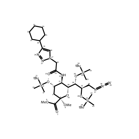 COC(=O)[C@@]1(OC)C[C@H](O[Si](C)(C)C(C)(C)C)[C@@H](NC(=O)Cn2cc(C3CCCCC3)nn2)[C@H]([C@H](O[Si](C)(C)C(C)(C)C)[C@@H](CN=[N+]=[N-])O[Si](C)(C)C(C)(C)C)O1